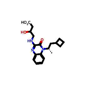 C[C@@H](CC1CCC1)n1c(=O)c(NCC(O)CC(=O)O)nc2ccccc21